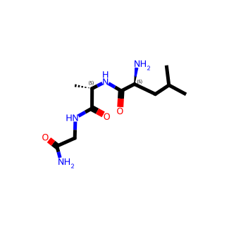 CC(C)C[C@H](N)C(=O)N[C@@H](C)C(=O)NCC(N)=O